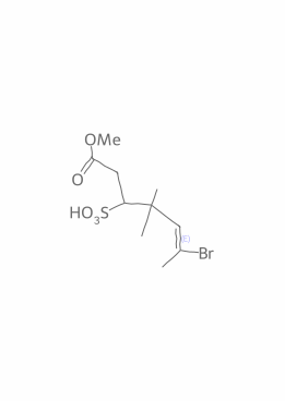 COC(=O)CC(C(C)(C)/C=C(\C)Br)S(=O)(=O)O